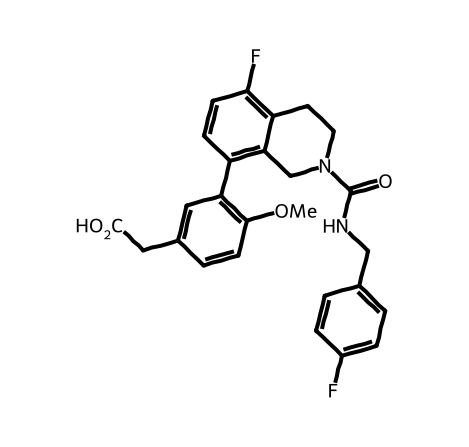 COc1ccc(CC(=O)O)cc1-c1ccc(F)c2c1CN(C(=O)NCc1ccc(F)cc1)CC2